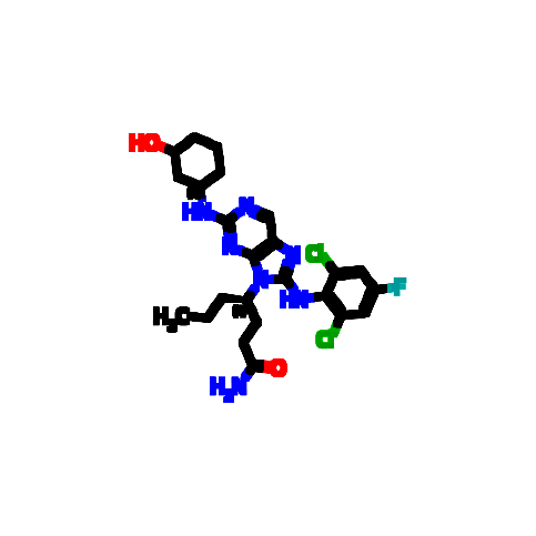 CCC[C@H](CCC(N)=O)n1c(Nc2c(Cl)cc(F)cc2Cl)nc2cnc(N[C@H]3CCCC(O)C3)nc21